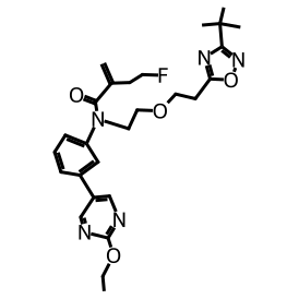 C=C(CCF)C(=O)N(CCOCCc1nc(C(C)(C)C)no1)c1cccc(-c2cnc(OCC)nc2)c1